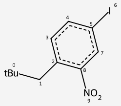 [CH2]C(C)(C)Cc1ccc(I)cc1[N+](=O)[O-]